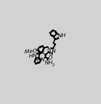 COc1ccc(Cn2c(CCc3c[nH]c4ccccc34)nnc2[C@H](Cc2c[nH]c3ccccc23)C(N)C(N)=O)cc1